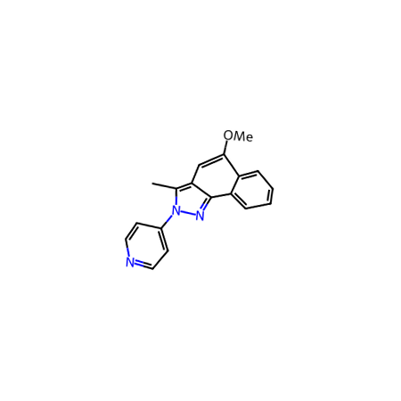 COc1cc2c(C)n(-c3ccncc3)nc2c2ccccc12